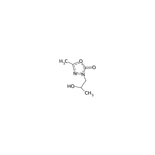 Cc1nn(CC(C)O)c(=O)o1